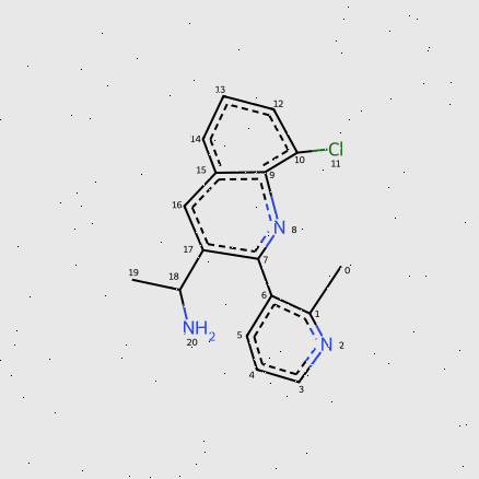 Cc1ncccc1-c1nc2c(Cl)cccc2cc1C(C)N